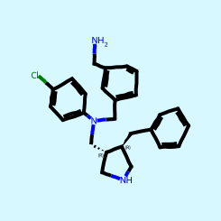 NCc1cccc(CN(C[C@H]2CNC[C@@H]2Cc2ccccc2)c2ccc(Cl)cc2)c1